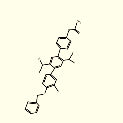 CC(=O)Oc1ccc(-c2cc(C(F)F)c(-c3ccc(OCc4ccccc4)c(F)c3)cc2C(F)F)cc1